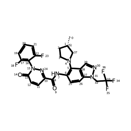 C[C@H]1CCN(c2c(NC(=O)c3ccc(=O)n(-c4c(F)cccc4F)n3)ccc3c2cnn3CC(F)(F)F)C1